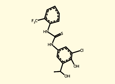 CC(O)c1cc(NC(=S)Nc2ccccc2C(F)(F)F)cc(Cl)c1O